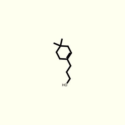 CC1(C)CC=C(CCCO)CC1